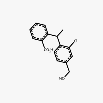 CC(c1ccc(CO)cc1Cl)c1ccccc1C(=O)O